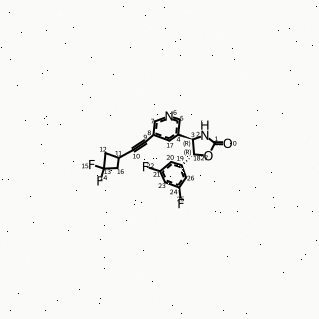 O=C1N[C@H](c2cncc(C#CC3CC(F)(F)C3)c2)[C@@H](c2cc(F)cc(F)c2)O1